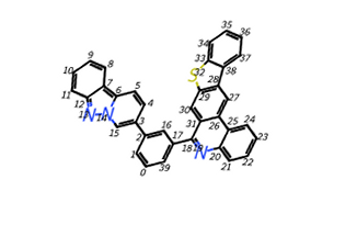 c1cc(-c2ccc3c4ccccc4nn3c2)cc(-c2nc3ccccc3c3cc4c(cc23)sc2ccccc24)c1